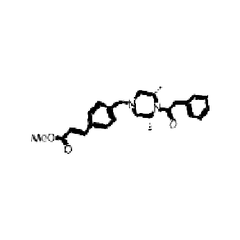 COC(=O)C=Cc1ccc(CN2C[C@@H](C)N(C(=O)Cc3ccccc3)[C@@H](C)C2)cc1